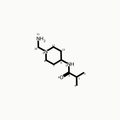 CC(C)C(=O)NC1CCN(CN)CC1